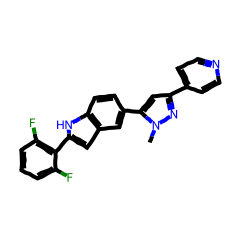 Cn1nc(-c2ccncc2)cc1-c1ccc2[nH]c(-c3c(F)cccc3F)cc2c1